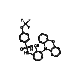 N=S(=O)(Nc1cccc(N2c3ccccc3Oc3ccccc32)c1O)c1ccc(OC(F)(F)F)cc1